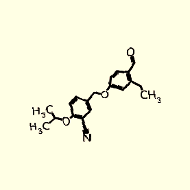 CCc1cc(OCc2ccc(OC(C)C)c(C#N)c2)ccc1C=O